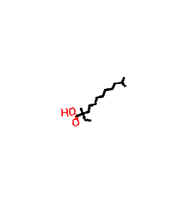 CCC(C)(CCCCCCCCC(C)C)C(=O)O